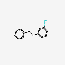 Fc1cc[c]c(CCc2ccccc2)c1